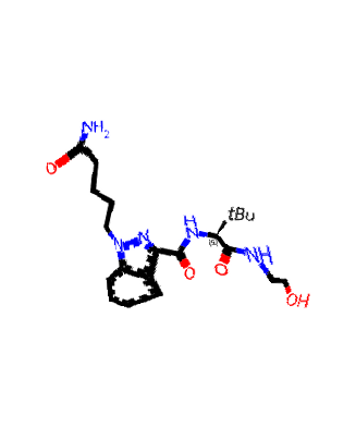 CC(C)(C)[C@H](NC(=O)c1nn(CCCCC(N)=O)c2ccccc12)C(=O)NCCO